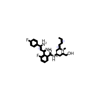 C/C=C\C=C(\C[C@@H](CCCO)NC(=O)c1cccc(F)c1C(=N)/C=C(\N)c1ccc(F)cc1)NC